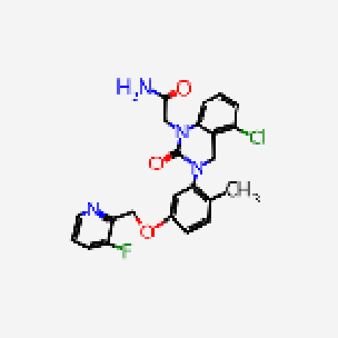 Cc1ccc(OCc2ncccc2F)cc1N1Cc2c(Cl)cccc2N(CC(N)=O)C1=O